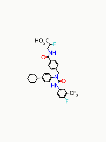 O=C(NCC(F)C(=O)O)c1ccc(CN(C(=O)Nc2ccc(F)c(C(F)(F)F)c2)c2ccc(C3CCCCC3)cc2)cc1